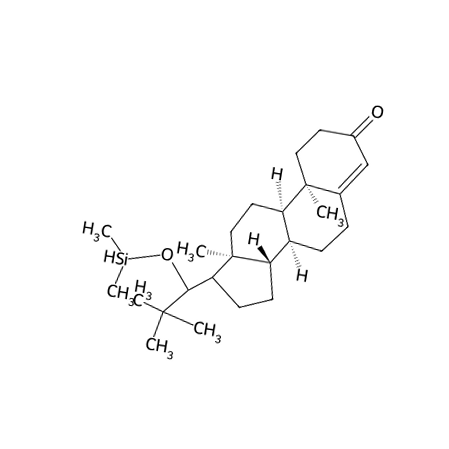 C[SiH](C)OC(C1CC[C@H]2[C@@H]3CCC4=CC(=O)CC[C@]4(C)[C@@H]3CC[C@]12C)C(C)(C)C